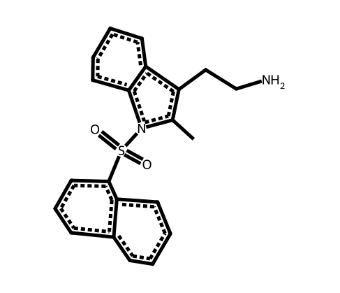 Cc1c(CCN)c2ccccc2n1S(=O)(=O)c1cccc2ccccc12